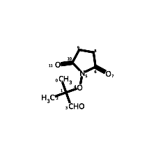 CC(C)(C=O)ON1C(=O)CCC1=O